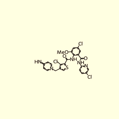 COc1cc(Cl)cc(C(=O)Nc2ccc(Cl)cn2)c1NC(=O)c1scc(Cn2ccc(=N)cc2)c1Cl